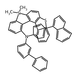 C[Si]1(C)c2cccc(N(c3ccc(-c4cccc5ccccc45)cc3)c3cccc(-c4ccccc4)c3)c2-c2c1ccc1sc3ccccc3c21